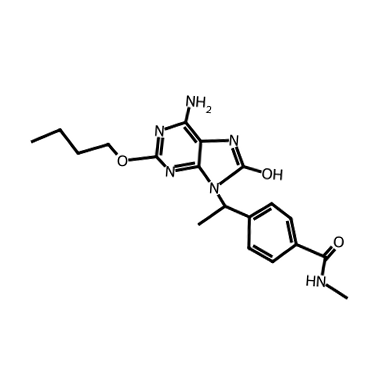 CCCCOc1nc(N)c2nc(O)n(C(C)c3ccc(C(=O)NC)cc3)c2n1